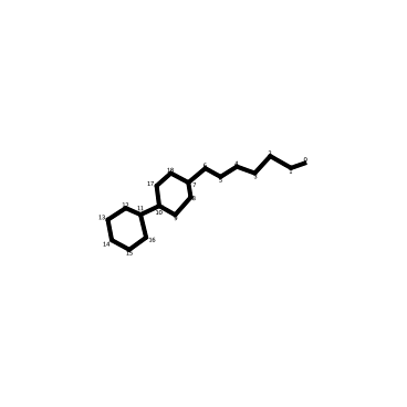 CCCCCCCC1CC[C](C2CCCCC2)CC1